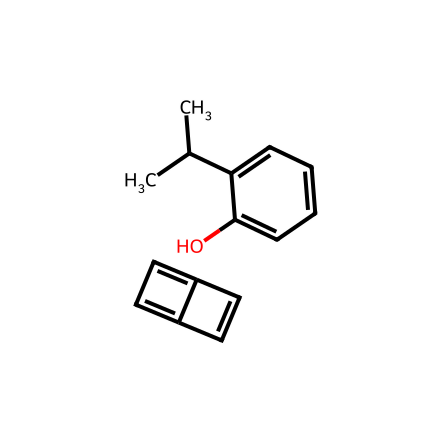 CC(C)c1ccccc1O.c1cc2ccc1-2